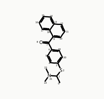 CC(Sc1ccc(C(=O)c2cccc3ccccc23)cc1)N(C)C